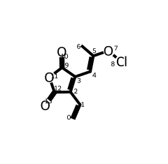 C=CC1=C(/C=C(\C)OCl)C(=O)OC1=O